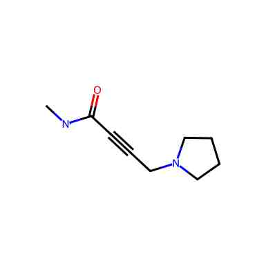 C[N]C(=O)C#CCN1CCCC1